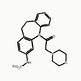 CCOC(=O)Nc1ccc2c(c1)N(C(=O)CN1CCOCC1)c1ccccc1CC2